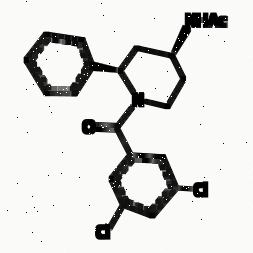 CC(=O)N[C@H]1CCN(C(=O)c2cc(Cl)cc(Cl)c2)[C@@H](c2ccccc2)C1